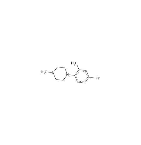 Cc1cc(C(C)C)ccc1N1CCN(C)CC1